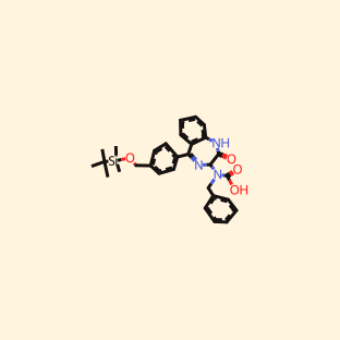 CC(C)(C)[Si](C)(C)OCc1ccc(C2=NC(N(Cc3ccccc3)C(=O)O)C(=O)Nc3ccccc32)cc1